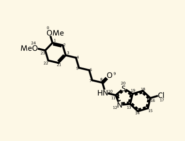 COC1=CC(CCCCC(=O)Nc2nc3ccc(Cl)cc3s2)=CCC1OC